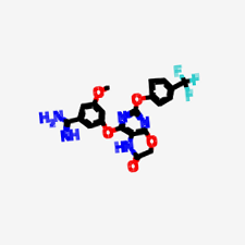 COc1cc(Oc2nc(Oc3ccc(C(F)(F)F)cc3)nc3c2NC(=O)CO3)cc(C(=N)N)c1